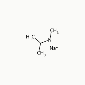 C[N-]C(C)C.[Na+]